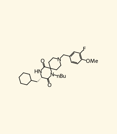 CCCCN1C(=O)[C@H](CC2CCCCC2)NC(=O)C12CCN(Cc1ccc(OC)c(F)c1)CC2